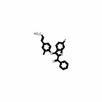 Cc1cc(/C=C/C(=O)O)ccc1Oc1c(C(=O)c2ccccc2)sc2cc(F)ccc12